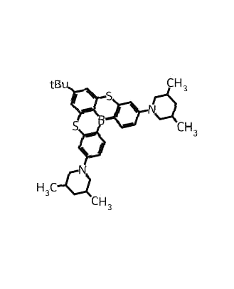 CC1CC(C)CN(c2ccc3c(c2)Sc2cc(C(C)(C)C)cc4c2B3c2ccc(N3CC(C)CC(C)C3)cc2S4)C1